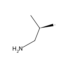 [CH2][C@H](C)CN